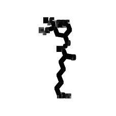 CCCCCCCCCCCCCCCC(=O)NOC(CC(=O)[O-])C[N+](C)(C)C